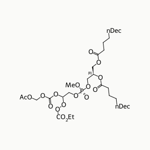 CCCCCCCCCCCCCC(=O)OC[C@H](COP(=O)(OC)OCC(OOC(=O)OCC)OC(=O)OCOC(C)=O)OC(=O)CCCCCCCCCCCCC